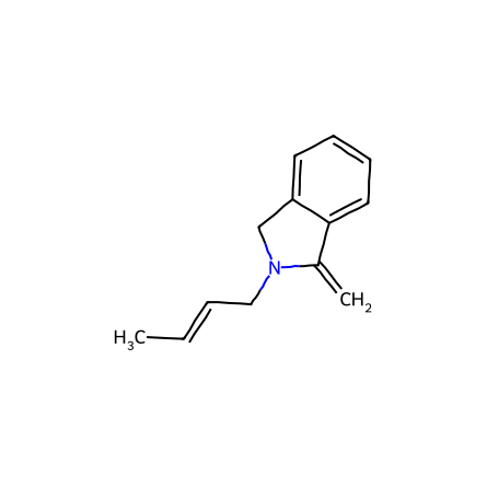 C=C1c2ccccc2CN1C/C=C/C